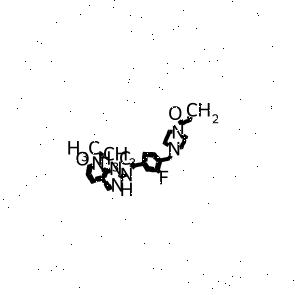 C=CC(=O)N1CCN(Cc2ccc(C(C)Nc3ncc4ccc(=O)n(C(C)C)c4n3)cc2F)CC1